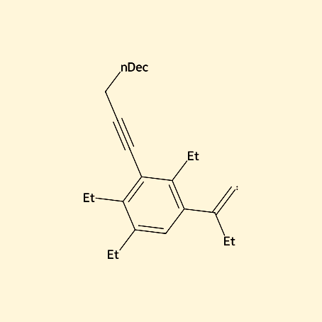 [C]=C(CC)c1cc(CC)c(CC)c(C#CCCCCCCCCCCC)c1CC